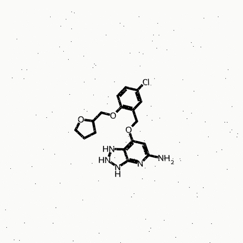 Nc1cc(OCc2cc(Cl)ccc2OCC2CCCO2)c2c(n1)NNN2